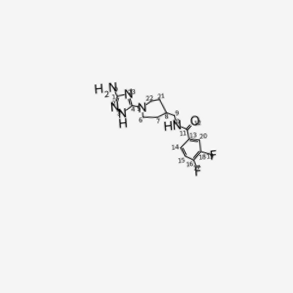 Nc1n[nH]c(N2CCC(CNC(=O)c3ccc(F)c(F)c3)CC2)n1